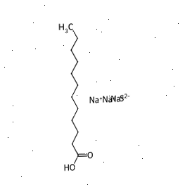 CCCCCCCCCCCC(=O)O.[Na+].[Na+].[Na+].[S-2]